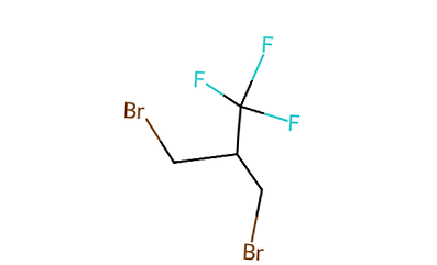 FC(F)(F)C(CBr)CBr